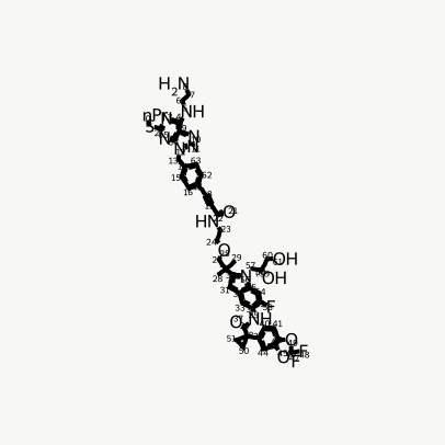 CCCSc1nc(NCCN)c2nnn(Cc3ccc(C#CC(=O)NCCOCC(C)(C)c4cc5cc(NC(=O)C6(c7ccc8c(c7)OC(F)(F)O8)CC6)c(F)cc5n4C[C@@H](O)CO)cc3)c2n1